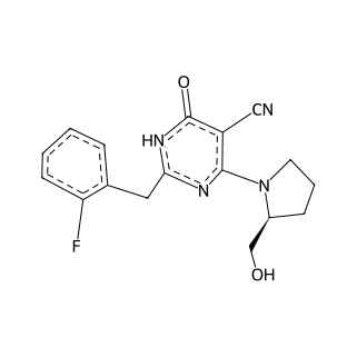 N#Cc1c(N2CCC[C@H]2CO)nc(Cc2ccccc2F)[nH]c1=O